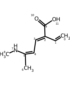 C=C/C(=C\C=C(\C)NC)C(=O)O